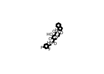 O=C(NCc1ccc(F)cc1F)c1cn2c(c(O)c1=O)C(=O)N1C(C2)OC2Cc3ccccc3[C@@H]21